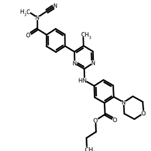 CCCOC(=O)c1cc(Nc2ncc(C)c(-c3ccc(C(=O)N(C)C#N)cc3)n2)ccc1N1CCOCC1